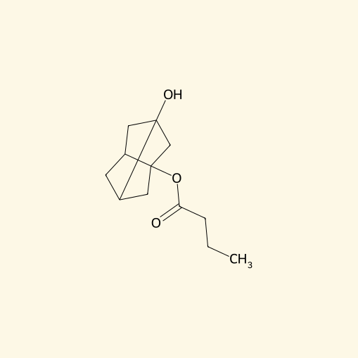 CCCC(=O)OC12CC3CC1CC3(O)C2